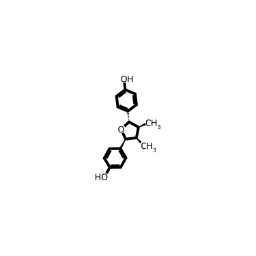 C[C@@H]1[C@H](C)[C@@H](c2ccc(O)cc2)O[C@@H]1c1ccc(O)cc1